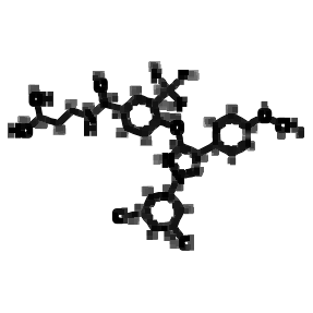 COc1ccc(-c2cn(-c3cc(Cl)cc(Cl)c3)nc2Oc2ccc(C(=O)NCCC(O)O)cc2C(F)(F)F)cc1